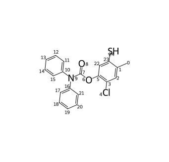 Cc1cc(Cl)c(OC(=O)N(c2ccccc2)c2ccccc2)cc1S